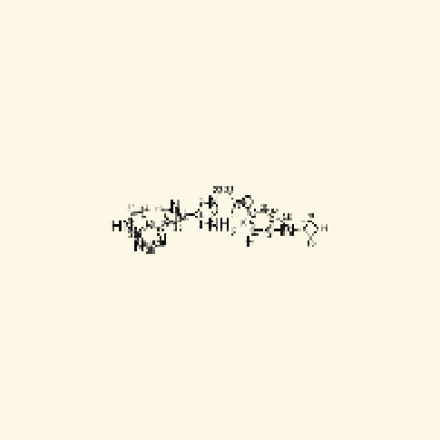 NCC(CN1CCC(Oc2cc(F)cc(CNC3CCC3)c2)CC1)n1cc(-c2ncnc3[nH]ccc23)cn1